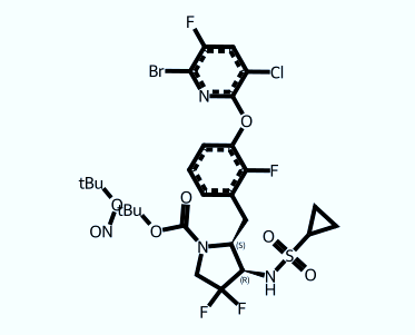 CC(C)(C)OC(=O)N1CC(F)(F)[C@H](NS(=O)(=O)C2CC2)[C@@H]1Cc1cccc(Oc2nc(Br)c(F)cc2Cl)c1F.CC(C)(C)ON=O